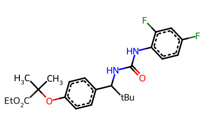 CCOC(=O)C(C)(C)Oc1ccc(C(NC(=O)Nc2ccc(F)cc2F)C(C)(C)C)cc1